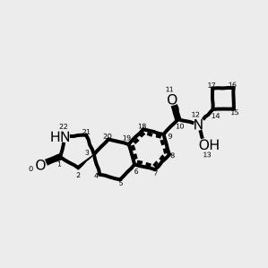 O=C1C[C@@]2(CCc3ccc(C(=O)N(O)C4CCC4)cc3C2)CN1